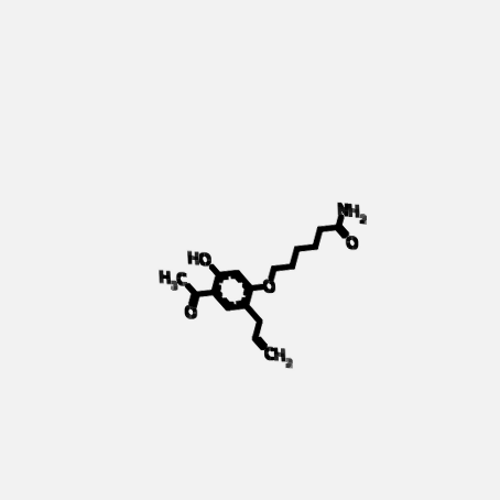 C=CCc1cc(C(C)=O)c(O)cc1OCCCCCC(N)=O